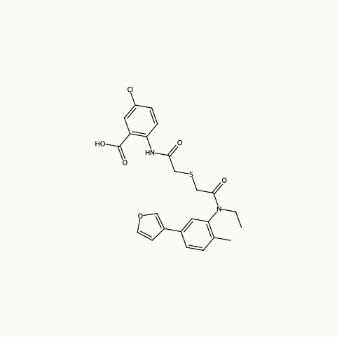 CCN(C(=O)CSCC(=O)Nc1ccc(Cl)cc1C(=O)O)c1cc(-c2ccoc2)ccc1C